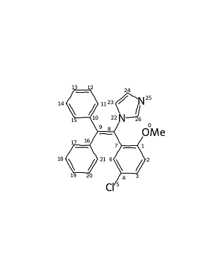 COc1ccc(Cl)cc1C(=C(c1ccccc1)c1ccccc1)n1ccnc1